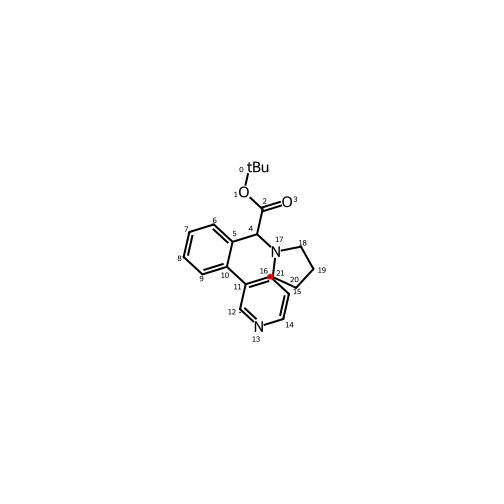 CC(C)(C)OC(=O)C(c1ccccc1-c1[c]nccc1)N1CCCC1